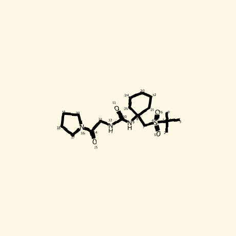 CC(C)(C)S(=O)(=O)CC1(NC(=O)NCC(=O)N2CCCC2)CCCCC1